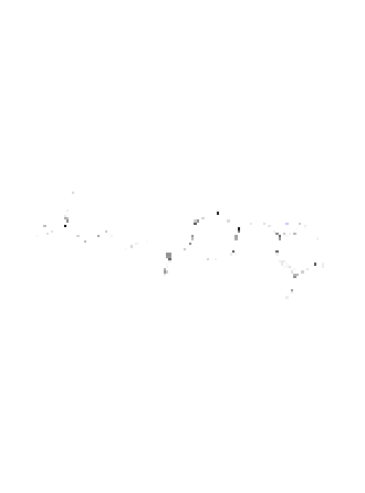 C/N=C(\C=C(\C)N)NC1CCN(C(=O)CCNCC(=O)O)CC1